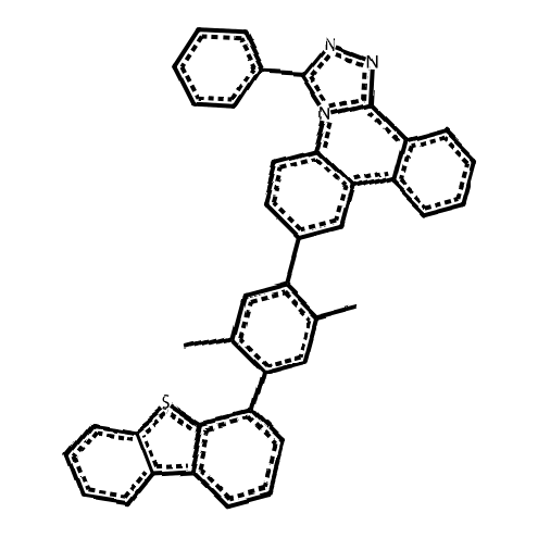 Cc1cc(-c2cccc3c2sc2ccccc23)c(C)cc1-c1ccc2c(c1)c1ccccc1c1nnc(-c3ccccc3)n21